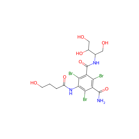 NC(=O)c1c(Br)c(NC(=O)CCCO)c(Br)c(C(=O)NC(CO)C(O)CO)c1Br